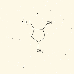 CC1CC(O)C(C(=O)O)C1